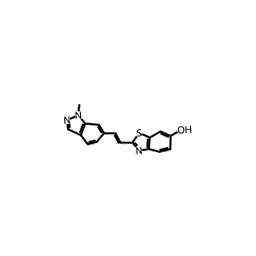 Cn1ncc2ccc(/C=C/c3nc4ccc(O)cc4s3)cc21